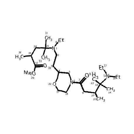 CCN(CCC1CN(C(=O)CC(C)C(C)(C)N(CC)CC)CCO1)C(C)(C)CC(C)C(=O)OC